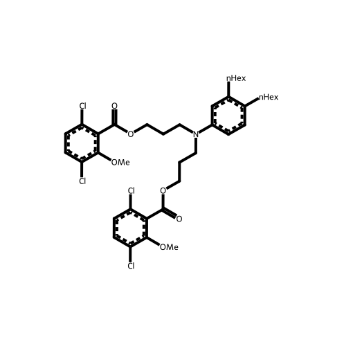 CCCCCCc1ccc(N(CCCOC(=O)c2c(Cl)ccc(Cl)c2OC)CCCOC(=O)c2c(Cl)ccc(Cl)c2OC)cc1CCCCCC